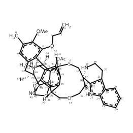 C=CCOc1c(OC)c(C)cc2c1[C@H]1C3[C@@H]4SC[C@]5(NCCc6c5[nH]c5ccccc65)C(=O)COC[C@@H](c5c6c(c(C)c(OC(C)=O)c54)OCO6)N3[C@@H](C#N)[C@@H](C2)N1C